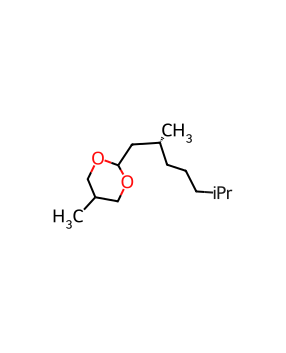 CC(C)CCC[C@@H](C)CC1OCC(C)CO1